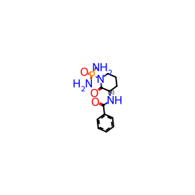 NP(N)(=O)N1CCC[C@@H](NC(=O)c2ccccc2)C1=O